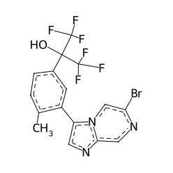 Cc1ccc(C(O)(C(F)(F)F)C(F)(F)F)cc1-c1cnc2cnc(Br)cn12